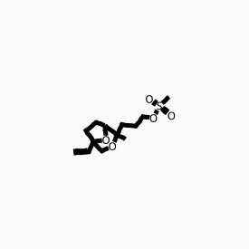 C=CC12CCC(O1)C(C)(CCCOS(C)(=O)=O)OC2